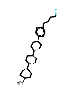 CCC[C@H]1CC[C@H]([C@H]2CC[C@H]([C@H]3CC[C@H](c4ccc(CCCCF)cc4)CC3)CC2)CC1